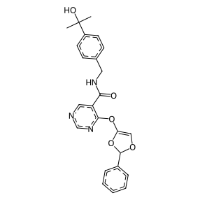 CC(C)(O)c1ccc(CNC(=O)c2cncnc2OC2=COC(c3ccccc3)O2)cc1